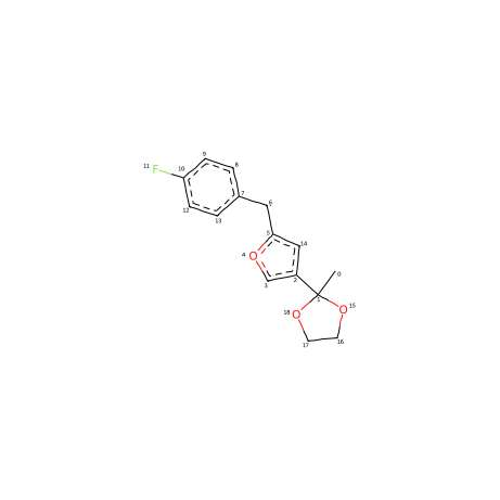 CC1(c2coc([CH]c3ccc(F)cc3)c2)OCCO1